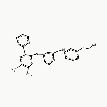 Cc1cc(Oc2ccnc(Nc3cccc(CCC#N)c3)c2)c(-c2ccccn2)nc1C